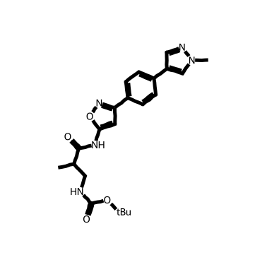 CC(CNC(=O)OC(C)(C)C)C(=O)Nc1cc(-c2ccc(-c3cnn(C)c3)cc2)no1